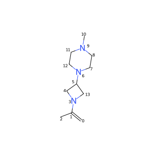 C=C(C)N1CC(N2CCN(C)CC2)C1